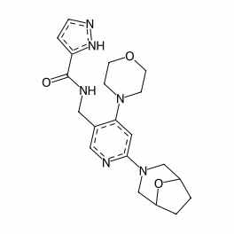 O=C(NCc1cnc(N2CC3CCC(C2)O3)cc1N1CCOCC1)c1ccn[nH]1